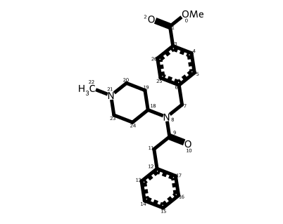 COC(=O)c1ccc(CN(C(=O)Cc2ccccc2)C2CCN(C)CC2)cc1